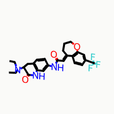 CCN(CC)C1Cc2ccc(NC(=O)/C=C3\CCCOc4cc(C(F)(F)F)ccc43)cc2NC1=O